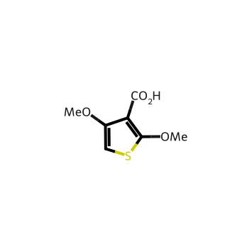 COc1csc(OC)c1C(=O)O